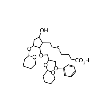 O=C(O)CCCSCCC1C(O)CC(OC2CCCCO2)C1OCC(COc1ccccc1)OC1CCCCO1